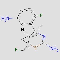 C[C@]1(c2cc(N)ccc2F)N=C(N)S[C@@]2(CF)C[C@H]21